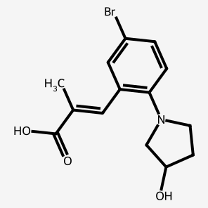 C/C(=C\c1cc(Br)ccc1N1CCC(O)C1)C(=O)O